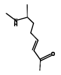 CNC(C)CC/C=C/C(C)=O